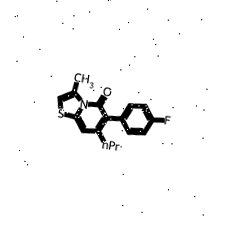 CC[CH]c1cc2scc(C)n2c(=O)c1-c1ccc(F)cc1